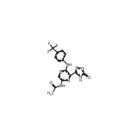 CC(=O)Nc1cnc(Nc2ccc(C(F)(F)F)cc2)c(-c2noc(=O)[nH]2)n1